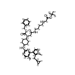 Cn1ncc(-c2nc(NC3CCC(N(CC(=O)NCCCCNCC(=O)OC(C)(C)C)C(=O)OCc4ccccc4)CC3)ncc2F)c1CC1CC1